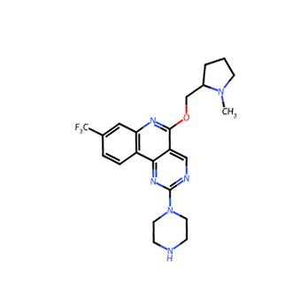 CN1CCCC1COc1nc2cc(C(F)(F)F)ccc2c2nc(N3CCNCC3)ncc12